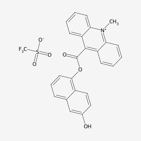 C[n+]1c2ccccc2c(C(=O)Oc2cccc3cc(O)ccc23)c2ccccc21.O=S(=O)([O-])C(F)(F)F